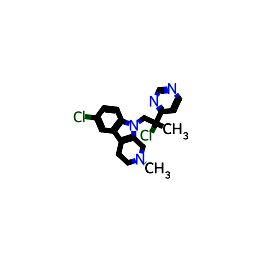 CN1CCc2c(n(CC(C)(Cl)c3ccncn3)c3ccc(Cl)cc23)C1